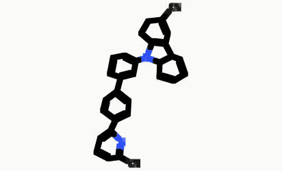 N#CC1=CC2=C(CC1)N(c1cccc(-c3ccc(-c4cccc(C#N)n4)cc3)c1)C1C=CC=CC21